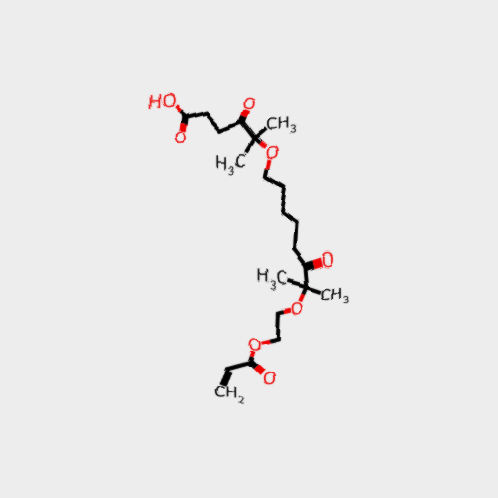 C=CC(=O)OCCOC(C)(C)C(=O)CCCCCOC(C)(C)C(=O)CCC(=O)O